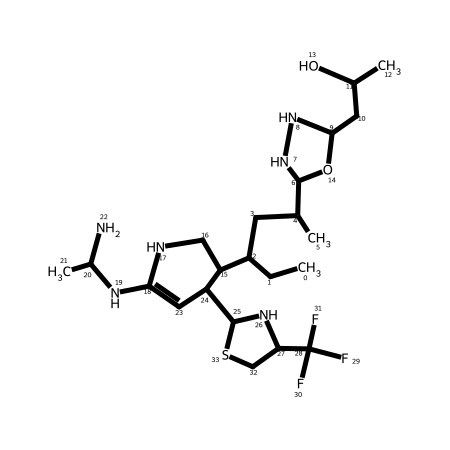 CCC(CC(C)C1NNC(CC(C)O)O1)C1CNC(NC(C)N)=CC1C1NC(C(F)(F)F)CS1